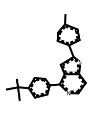 Cc1ccc(-c2cc3c(-c4ccc(C(C)(C)C)cc4)nccc3s2)cc1